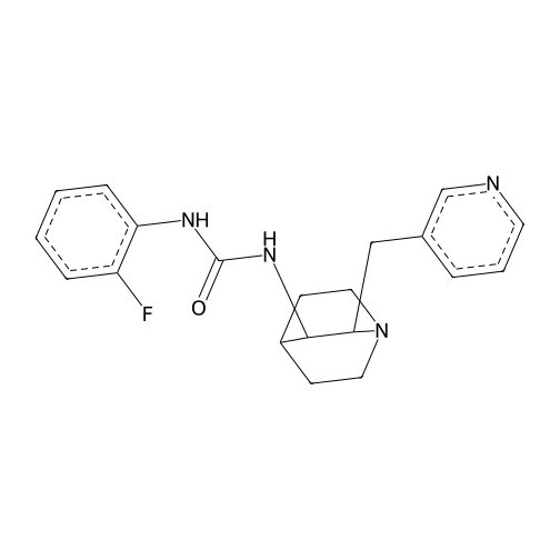 O=C(Nc1ccccc1F)NC1C2CCN(CC2)C1Cc1cccnc1